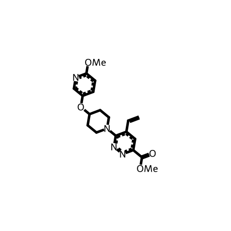 C=Cc1cc(C(=O)OC)nnc1N1CCC(Oc2ccc(OC)nc2)CC1